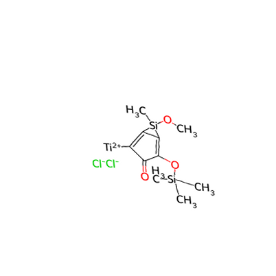 CO[Si]1(C)C2=[C]([Ti+2])C(=O)C(O[Si](C)(C)C)=C21.[Cl-].[Cl-]